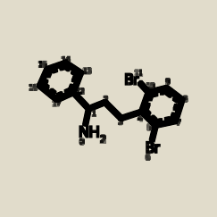 NC(CCc1c(Br)cccc1Br)c1ccccc1